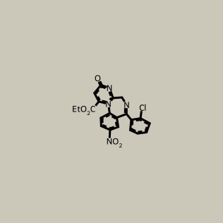 CCOC(=O)c1cc(=O)nc2n1-c1ccc([N+](=O)[O-])cc1C(c1ccccc1Cl)=NC2